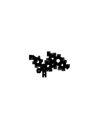 CCN1CCC(n2c(=O)[nH]c3cc(C=C4c5ccc(F)cc5CCc5cc(F)ccc54)ccc32)CC1